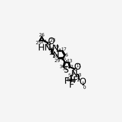 COCCN(CC(F)(F)F)C(=O)c1cc(-c2ccc3nc(NC(=O)C4CC4)cn3c2)cs1